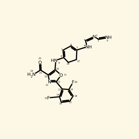 N=C/N=C\NC1=CC=C(Nc2oc(-c3c(F)cccc3F)nc2C(N)=O)CC1